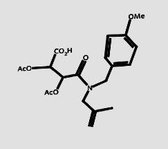 C=C(C)CN(Cc1ccc(OC)cc1)C(=O)C(OC(C)=O)C(OC(C)=O)C(=O)O